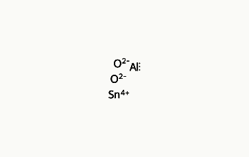 [Al].[O-2].[O-2].[Sn+4]